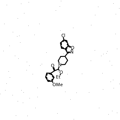 CCOC(C(=O)c1cccc(OC)c1)N1CCC(c2noc3cc(Cl)ccc23)CC1